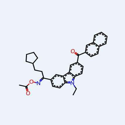 CCn1c2ccc(C(=O)c3ccc4ccccc4c3)cc2c2cc(/C(CCC3CCCC3)=N/OC(C)=O)ccc21